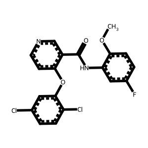 COc1ccc(F)cc1NC(=O)c1cnccc1Oc1cc(Cl)ccc1Cl